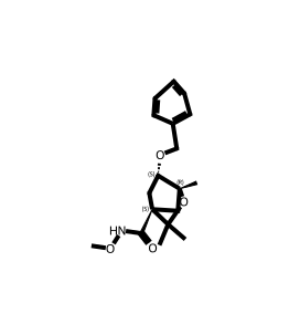 CONC(=O)[C@@]12C[C@H](OCc3ccccc3)[C@@](C)(C1)OC2(C)C